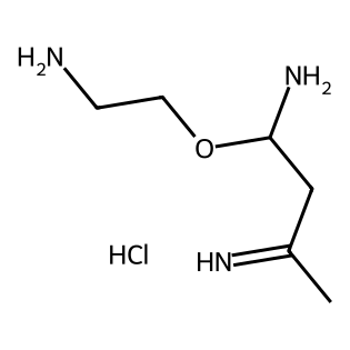 CC(=N)CC(N)OCCN.Cl